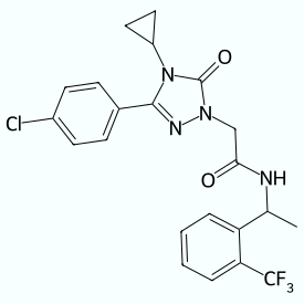 CC(NC(=O)Cn1nc(-c2ccc(Cl)cc2)n(C2CC2)c1=O)c1ccccc1C(F)(F)F